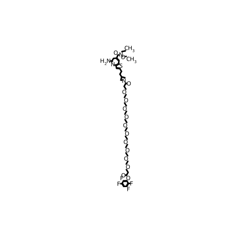 CCCN(OCC)C(=O)C1=Cc2sc(CCC3CN(C(=O)CCOCCOCCOCCOCCOCCOCCOCCOCCOCCOCCC(=O)Oc4c(F)c(F)cc(F)c4F)C3)cc2N=C(N)C1